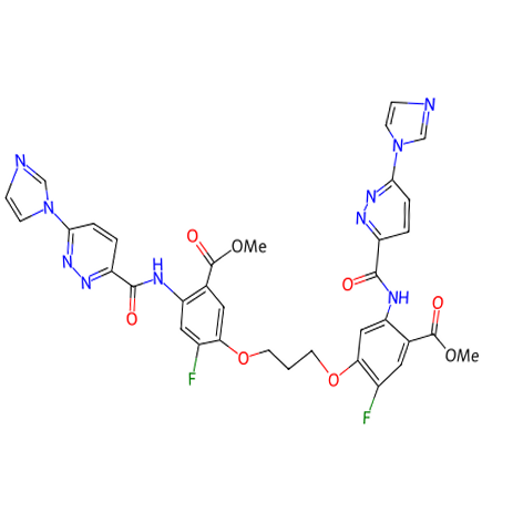 COC(=O)c1cc(F)c(OCCCOc2cc(C(=O)OC)c(NC(=O)c3ccc(-n4ccnc4)nn3)cc2F)cc1NC(=O)c1ccc(-n2ccnc2)nn1